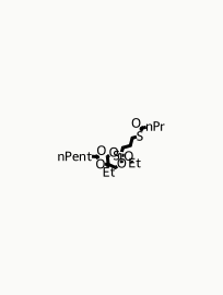 CCCCCC(=O)OC1(CC)CO[Si](CCCSC(=O)CCC)(OCC)OC1